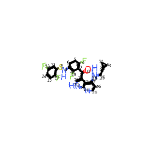 O=C(c1c(F)ccc(NSc2cc(F)ccc2F)c1F)c1c[nH]c2nccc(NCC3CC3)c12